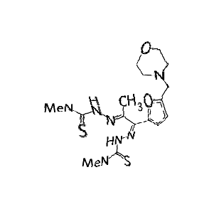 CNC(=S)N/N=C(C)/C(=N\NC(=S)NC)c1ccc(CN2CCOCC2)o1